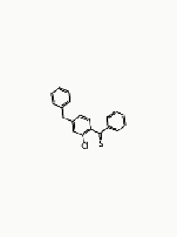 S=C(c1ccccc1)c1ccc(Cc2ccccc2)cc1Cl